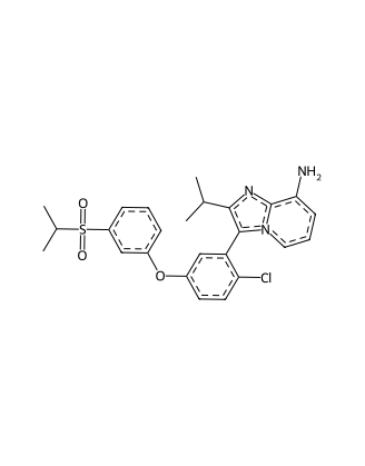 CC(C)c1nc2c(N)cccn2c1-c1cc(Oc2cccc(S(=O)(=O)C(C)C)c2)ccc1Cl